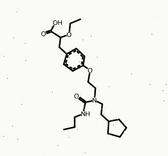 CCCNC(=O)N(CCOc1ccc(CC(OCC)C(=O)O)cc1)CCC1CCCC1